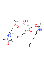 C=C(C)C(=O)OC.C=C(CCC(C)O)C(=O)OCCCO.C=C(CNC(C)(C)C)C(=O)OCC.C=CC(=O)NCCCCCCCC